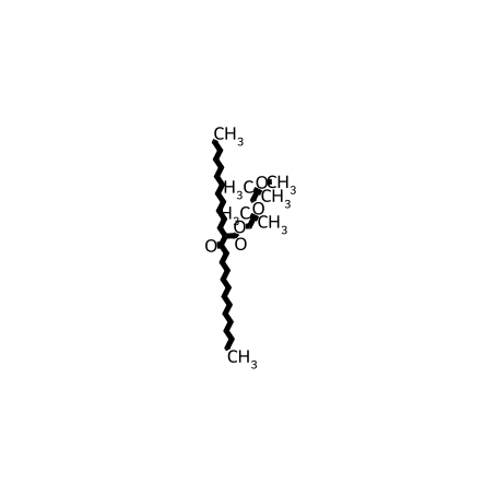 CCCCCCCCCCCCCC(=O)C(CCCCCCCCCCCC)C(=O)OCC(C)(C)OCC(C)(C)OC